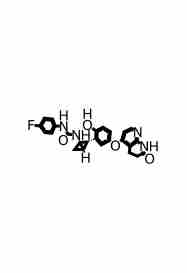 O=C1CCc2c(Oc3ccc(O)c([C@@H]4[C@@H]5C[C@@]45NC(=O)Nc4ccc(F)cc4)c3)ccnc2N1